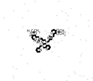 CC1(C)OC2CCOC(Cn3cc(CN(CCN(Cc4ccccn4)Cc4ccccn4)C/C(N)=C/N(N)CC4OCC[C@H]5OC(C)(C)OC45)nn3)C2O1